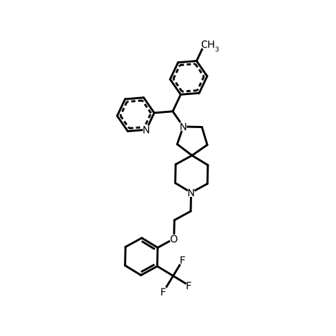 Cc1ccc(C(c2ccccn2)N2CCC3(CCN(CCOC4=CCCC=C4C(F)(F)F)CC3)C2)cc1